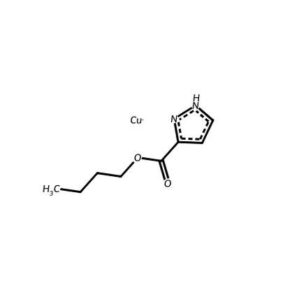 CCCCOC(=O)c1cc[nH]n1.[Cu]